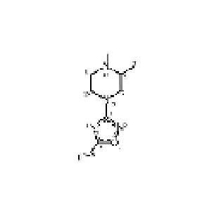 CC1CN(c2noc(C(C)C)n2)CCN1